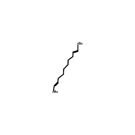 CCCCC=CCCCCCCC=CCCCC